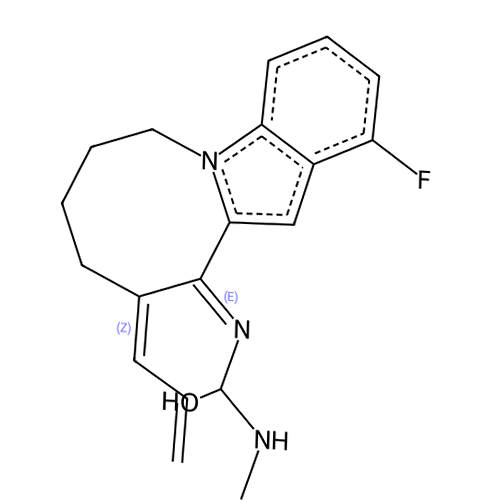 C=C/C=C1/CCCCn2c(cc3c(F)cccc32)/C1=N/C(O)NC